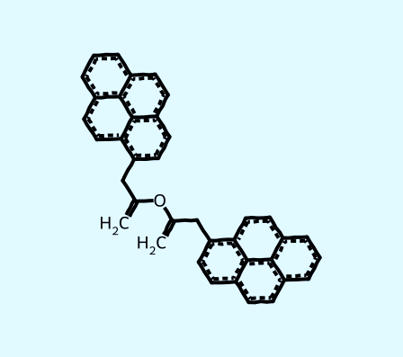 C=C(Cc1ccc2ccc3cccc4ccc1c2c34)OC(=C)Cc1ccc2ccc3cccc4ccc1c2c34